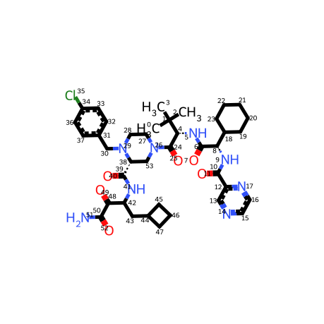 CC(C)(C)[C@H](NC(=O)[C@@H](NC(=O)c1cnccn1)C1CCCCC1)C(=O)N1CCN(Cc2ccc(Cl)cc2)[C@@H](C(=O)NC(CC2CCC2)C(=O)C(N)=O)C1